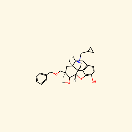 CC[C@@]12C[C@](C)(COCc3ccccc3)C(OC)[C@H]3Oc4c(O)ccc5c4[C@]31CCN(CC1CC1)[C@H]2C5